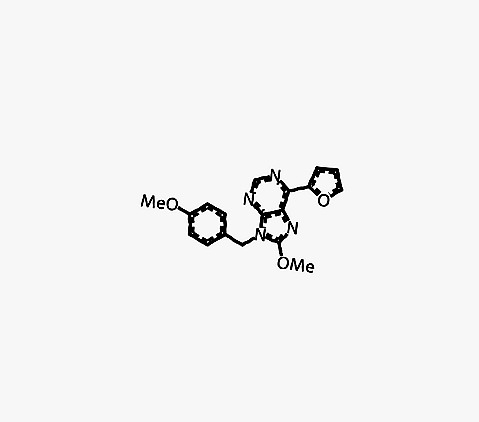 COc1ccc(Cn2c(OC)nc3c(-c4ccco4)ncnc32)cc1